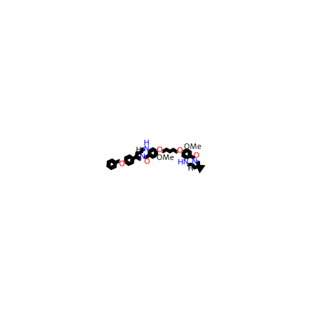 COc1cc2c(cc1OCCCCCOc1cc3c(cc1OC)C(=O)N1CC4(CC4)C[C@H]1CN3)NC[C@@H]1CC(c3ccc(OCc4ccccc4)cc3)=CN1C2=O